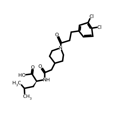 CC(C)C[C@H](NC(=O)CC1CCN(C(=O)CCc2ccc(Cl)c(Cl)c2)CC1)C(=O)O